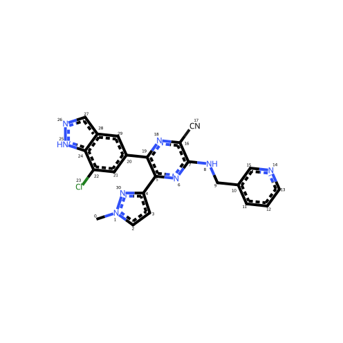 Cn1ccc(-c2nc(NCc3cccnc3)c(C#N)nc2-c2cc(Cl)c3[nH]ncc3c2)n1